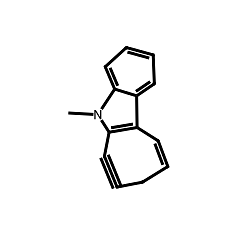 Cn1c2c(c3ccccc31)C=CCC#C2